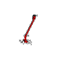 C=C(C1=Cc2ccc(-c3ccc(C(=O)NCCOCCOCCOCCOCCOCCOCCOCCOCCOCCOCCC(=O)Oc4c(F)c(F)c(S(=O)(=O)O)c(F)c4F)cc3)cc2N=C(N)C1)N(CCC)OCC